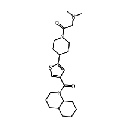 CN(C)CC(=O)N1CCC(c2cc(C(=O)N3CCCC4CCCCC43)cs2)CC1